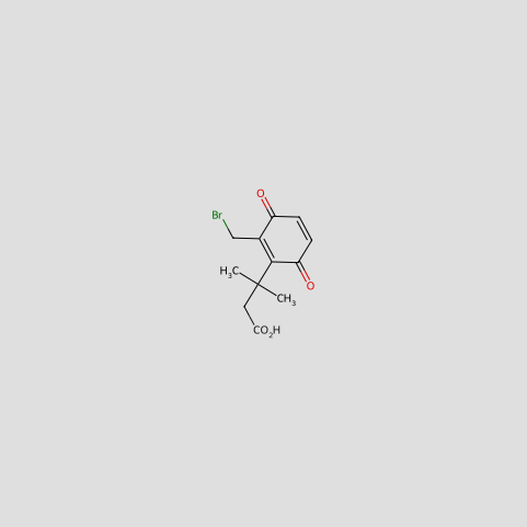 CC(C)(CC(=O)O)C1=C(CBr)C(=O)C=CC1=O